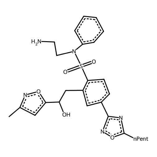 CCCCCc1nc(-c2ccc(S(=O)(=O)N(CCN)c3ccccc3)c(CC(O)c3cc(C)no3)c2)no1